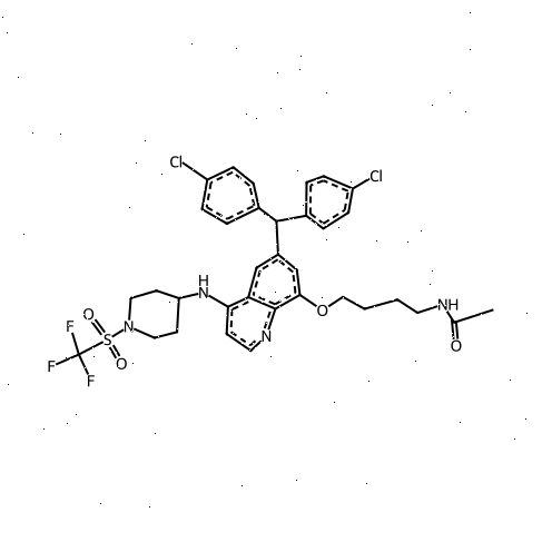 CC(=O)NCCCCOc1cc(C(c2ccc(Cl)cc2)c2ccc(Cl)cc2)cc2c(NC3CCN(S(=O)(=O)C(F)(F)F)CC3)ccnc12